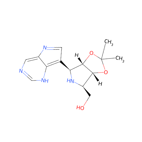 CC1(C)O[C@@H]2[C@H](O1)[C@@H](CO)N[C@H]2c1cnc2cnc[nH]c1-2